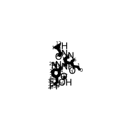 CCC(=O)c1cnc(NC(=O)C2CC2)cc1Nc1nn(C)c2ccc([C@H](O)C(F)(F)F)c(OC)c12